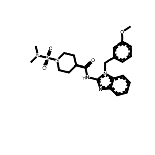 COc1cccc(Cn2c(NC(=O)C3CCN(S(=O)(=O)N(C)C)CC3)nc3ccccc32)c1